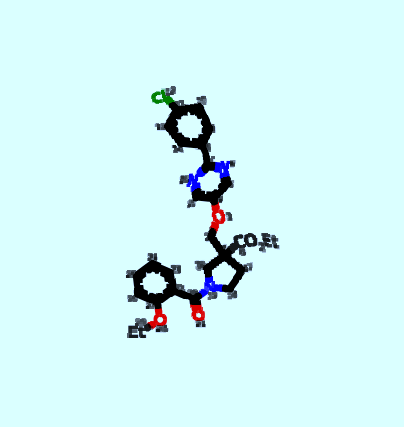 CCOC(=O)C1(COc2cnc(-c3ccc(Cl)cc3)nc2)CCN(C(=O)c2ccccc2OCC)C1